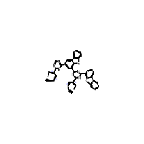 C#C/C=C\C(=C/C)c1ncnc(-c2cc(-c3nc(C(/C=C\C#C)=C/C)nc(-c4cccc5c4sc4ccccc45)n3)c3sc4ccccc4c3c2)n1